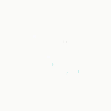 FC(F)(F)C(F)(F)C(F)(F)/C1=C/CC/C=C\CC1.[Pt]